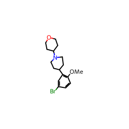 COc1ccc(Br)cc1C1CCN(C2CCOCC2)CC1